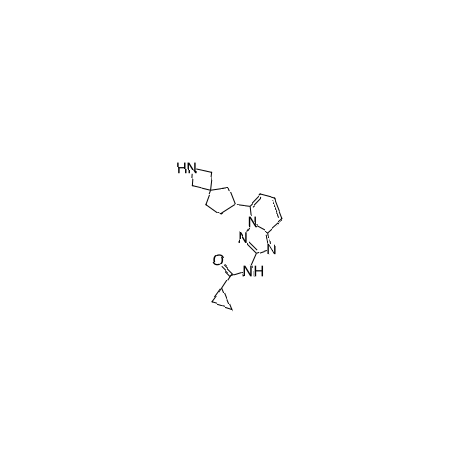 O=C(Nc1nc2cccc(C3CCC4(CNC4)C3)n2n1)C1CC1